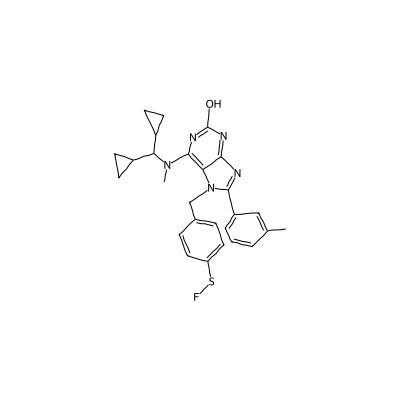 Cc1cccc(-c2nc3nc(O)nc(N(C)C(C4CC4)C4CC4)c3n2Cc2ccc(SF)cc2)c1